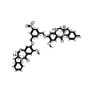 COc1cc2c(cc1OCc1cc(COc3cc4c(cc3OC)C(=O)N3c5ccc(C)cc5C[C@H]3CN4)cc([N+](=O)[O-])c1)N=C[C@@H]1Cc3ccccc3N1C2=O